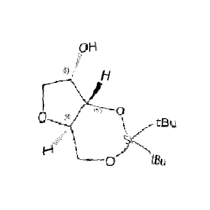 CC(C)(C)[Si]1(C(C)(C)C)OC[C@H]2OC[C@H](O)[C@@H]2O1